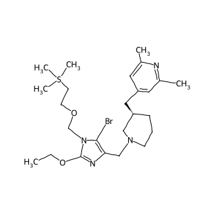 CCOc1nc(CN2CCC[C@H](Cc3cc(C)nc(C)c3)C2)c(Br)n1COCCS(C)(C)C